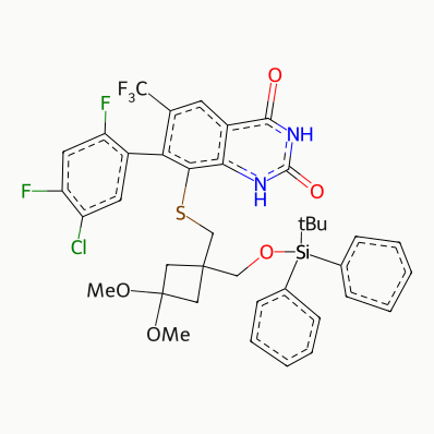 COC1(OC)CC(CO[Si](c2ccccc2)(c2ccccc2)C(C)(C)C)(CSc2c(-c3cc(Cl)c(F)cc3F)c(C(F)(F)F)cc3c(=O)[nH]c(=O)[nH]c23)C1